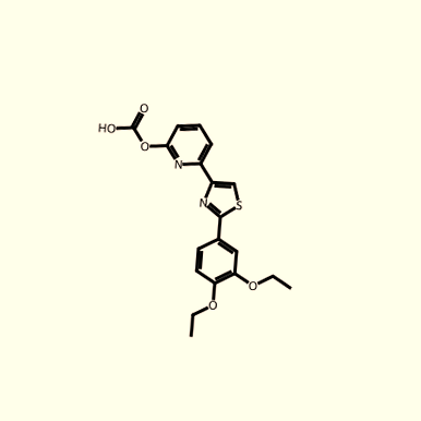 CCOc1ccc(-c2nc(-c3cccc(OC(=O)O)n3)cs2)cc1OCC